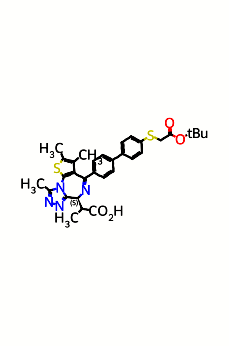 Cc1sc2c(c1C)C(c1ccc(-c3ccc(SCC(=O)OC(C)(C)C)cc3)cc1)=N[C@@H](C(C)C(=O)O)c1nnc(C)n1-2